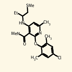 CCC(CSC)Nc1cc(C)nc(Oc2c(C)cc(Cl)cc2C)c1C(=O)NC